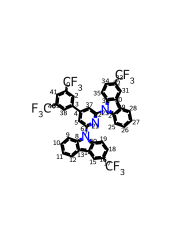 FC(F)(F)c1cc(-c2cc(-n3c4ccccc4c4cc(C(F)(F)F)ccc43)nc(-n3c4ccccc4c4cc(C(F)(F)F)ccc43)c2)cc(C(F)(F)F)c1